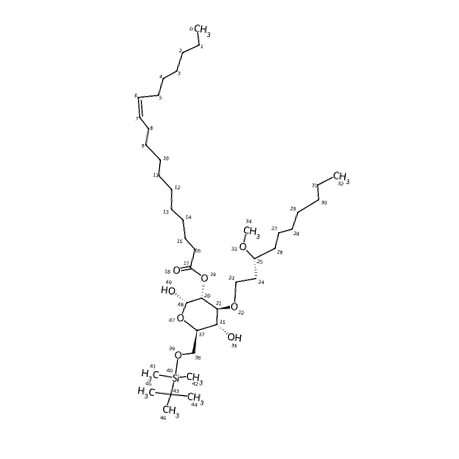 CCCCCC/C=C\CCCCCCCCCC(=O)O[C@@H]1[C@@H](OCC[C@@H](CCCCCCC)OC)[C@H](O)[C@@H](CO[Si](C)(C)C(C)(C)C)O[C@@H]1O